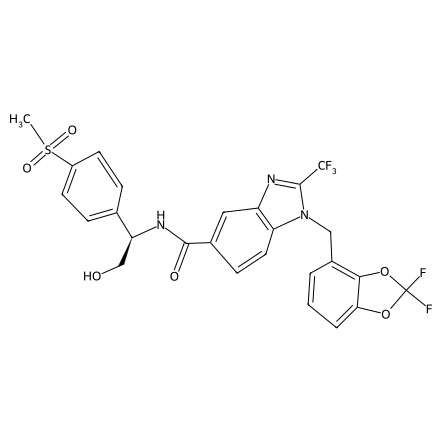 CS(=O)(=O)c1ccc([C@H](CO)NC(=O)c2ccc3c(c2)nc(C(F)(F)F)n3Cc2cccc3c2OC(F)(F)O3)cc1